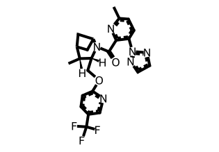 Cc1ccc(-n2nccn2)c(C(=O)N2C3CC(C3)[C@@H](C)[C@H]2COc2ccc(C(F)(F)F)cn2)n1